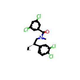 [CH2]C[C@H](CN(C)C(=O)c1cc(Cl)cc(Cl)c1)c1ccc(Cl)c(Cl)c1